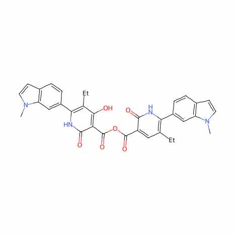 CCc1cc(C(=O)OC(=O)c2c(O)c(CC)c(-c3ccc4ccn(C)c4c3)[nH]c2=O)c(=O)[nH]c1-c1ccc2ccn(C)c2c1